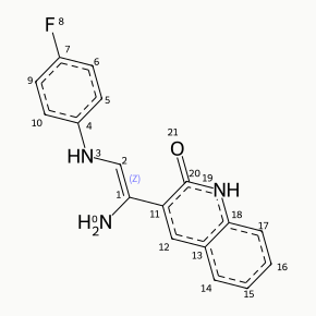 N/C(=C\Nc1ccc(F)cc1)c1cc2ccccc2[nH]c1=O